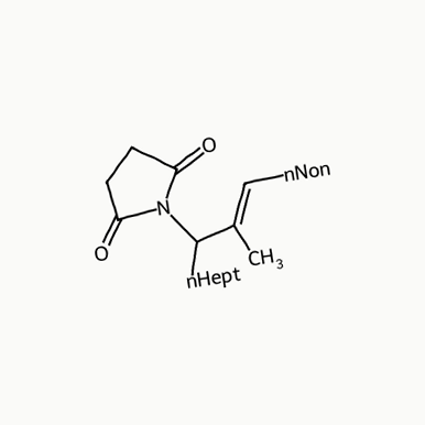 CCCCCCCCCC=C(C)C(CCCCCCC)N1C(=O)CCC1=O